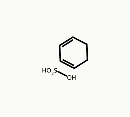 C1=CCCC=C1.O=S(=O)(O)O